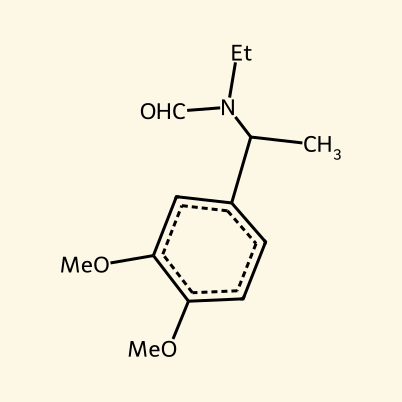 CCN(C=O)C(C)c1ccc(OC)c(OC)c1